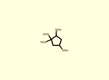 CNC1CC(NC)C(NC)(NC)C1